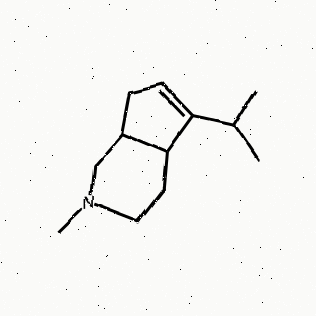 CC(C)C1=CCC2CN(C)CCC12